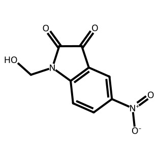 O=C1C(=O)N(CO)c2ccc([N+](=O)[O-])cc21